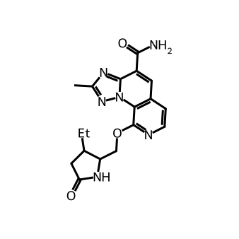 CCC1CC(=O)NC1COc1nccc2cc(C(N)=O)c3nc(C)nn3c12